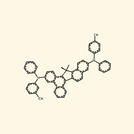 CC1(C)c2c(ccc3cc(N(c4ccccc4)c4ccc(C#N)cc4)ccc23)-c2c1c1ccc(N(c3ccccc3)c3cccc(C#N)c3)cc1c1ccccc21